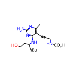 CCCCC(CCO)Nc1nc(N)nc(C)c1C#CCNC(=O)O